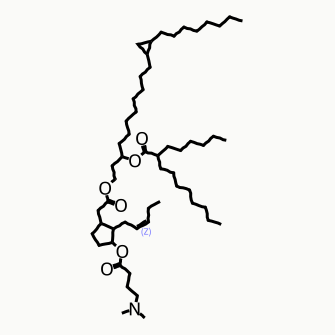 CC/C=C\CC1C(CC(=O)OCCC(CCCCCCCCC2CC2CCCCCCCC)OC(=O)C(CCCCCC)CCCCCCCC)CCC1OC(=O)CCCN(C)C